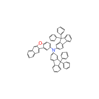 c1ccc(C2(c3ccccc3)c3ccccc3-c3ccc(N(c4ccc5c(c4)C(c4ccccc4)(c4ccccc4)c4ccccc4-5)c4ccc5oc6cc7ccccc7cc6c5c4)cc32)cc1